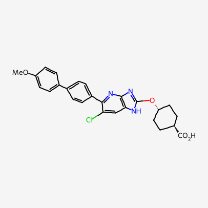 COc1ccc(-c2ccc(-c3nc4nc(O[C@H]5CC[C@H](C(=O)O)CC5)[nH]c4cc3Cl)cc2)cc1